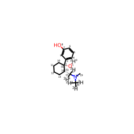 [2H]O[C@@]1(c2cccc(O)c2)CCCC[C@H]1C([2H])([2H])N(C)C([2H])([2H])[2H]